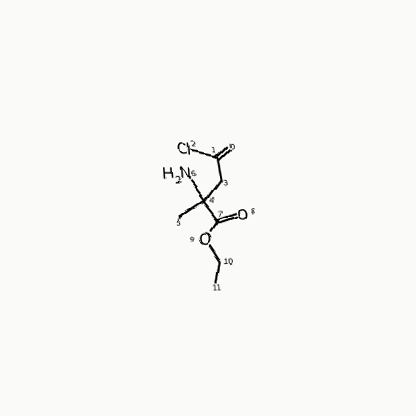 C=C(Cl)CC(C)(N)C(=O)OCC